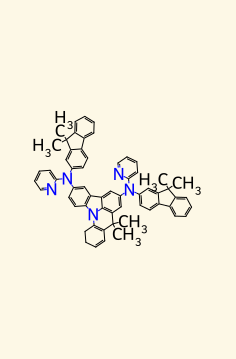 CC1(C)C2=C(CCC=C2)n2c3ccc(N(c4ccc5c(c4)C(C)(C)c4ccccc4-5)c4ccccn4)cc3c3cc(N(c4ccc5c(c4)C(C)(C)c4ccccc4-5)c4ccccn4)cc1c32